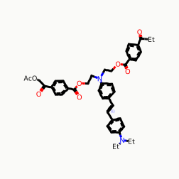 CCC(=O)c1ccc(C(=O)OCCN(CCOC(=O)c2ccc(C(=O)COC(C)=O)cc2)c2ccc(/C=C/c3ccc(N(CC)CC)cc3)cc2)cc1